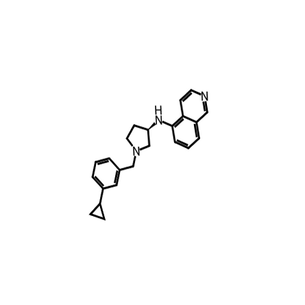 c1cc(CN2CC[C@@H](Nc3cccc4cnccc34)C2)cc(C2CC2)c1